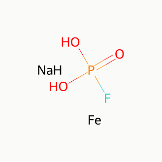 O=P(O)(O)F.[Fe].[NaH]